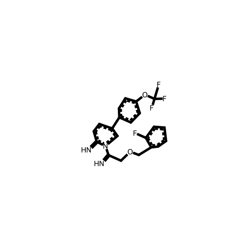 N=C(COCc1ccccc1F)n1cc(-c2ccc(OC(F)(F)F)cc2)ccc1=N